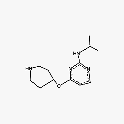 CC(C)Nc1nccc(OC2CCNCC2)n1